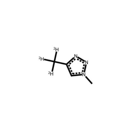 [2H]C([2H])([2H])c1cn(C)nn1